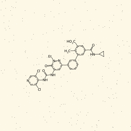 CCn1nc(-c2cccc(-c3cc(C(=O)NC4CC4)cc(C(=O)O)c3C)c2)cc(NC(=O)Nc2c(Cl)cncc2Cl)c1=O